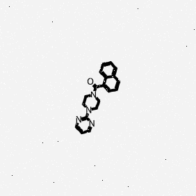 O=C(c1cccc2ccccc12)N1CCN(c2ncccn2)CC1